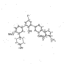 CSc1cc(-c2cc(F)cc(-c3cnc(SC)c(N4CCN(C(C)C)CC4)c3)c2O)ccc1-n1ccn(C)c1=O